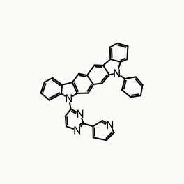 c1ccc(-n2c3ccccc3c3cc4cc5c6ccccc6n(-c6ccnc(-c7cccnc7)n6)c5cc4cc32)cc1